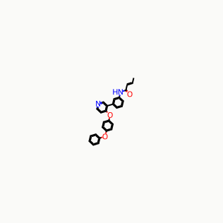 CC=CC(=O)Nc1cccc(-c2cnccc2Oc2ccc(Oc3ccccc3)cc2)c1